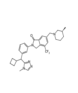 C[C@H]1CCCN(Cc2cc3c(c(C(F)(F)F)c2)CN(c2cccc(C(c4nncn4C)C4CCC4)c2)C3=O)C1